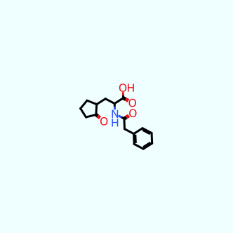 O=C(Cc1ccccc1)NC(CC1CCCC1=O)C(=O)O